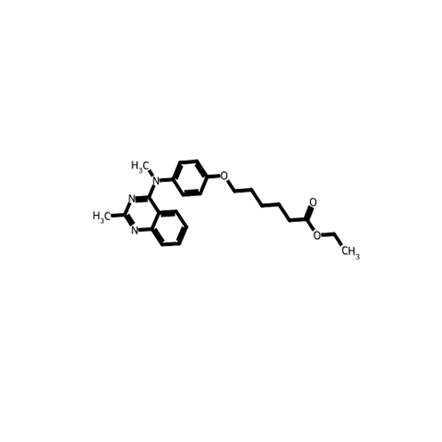 CCOC(=O)CCCCCOc1ccc(N(C)c2nc(C)nc3ccccc23)cc1